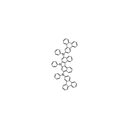 c1ccc(N(c2ccc3c4ccccc4c4ccccc4c3c2)c2cc3c(c4ccccc24)c2c4ccccc4c(N(c4ccccc4)c4ccc5c6ccccc6c6ccccc6c5c4)cc2n3-c2ccccc2)cc1